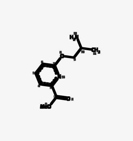 COC(=O)c1cccc(OCC(C)N)n1